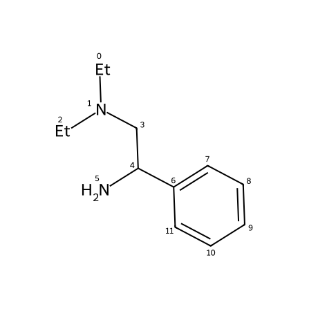 CCN(CC)CC(N)c1ccccc1